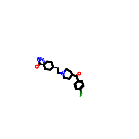 NC(=O)[C@H]1CC[C@H](CCN2CCC(C(=O)c3ccc(F)cc3)CC2)CC1